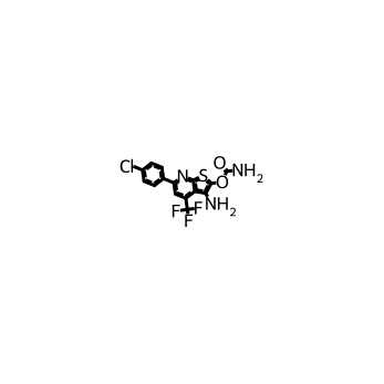 NC(=O)Oc1sc2nc(-c3ccc(Cl)cc3)cc(C(F)(F)F)c2c1N